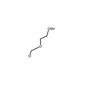 [CH2]OCCOCCl